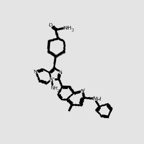 Cc1cc(Nc2ccccc2)nc2cc(C3=NC(C4CCC(C(N)=O)CC4)=C4C=NC=C[N+]34N)ccc12